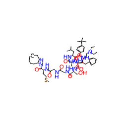 CCN(CC)CCCC[C@H](NC(=O)C(CC(C)C)NC(=O)[C@H](C)NC(=O)C(Cc1ccccc1)NC(=O)c1ccc(C(C)(C)C)cc1)C(=O)NC(CO)C(=O)NCC(=O)NCC(=O)N[C@@H](CCSC)C(=O)NC1CCCCCCC1